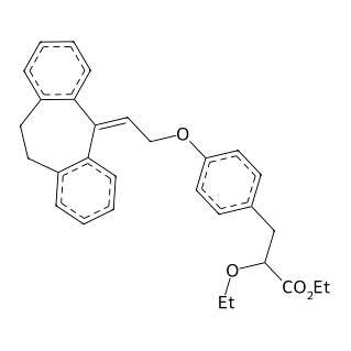 CCOC(=O)C(Cc1ccc(OCC=C2c3ccccc3CCc3ccccc32)cc1)OCC